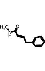 CNC(=O)C=CCc1ccccc1